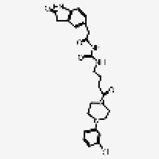 O=C(Cc1ccc2c(c1)CC(=O)N2)NC(=O)NCCCC(=O)N1CCN(c2cccc(Cl)c2)CC1